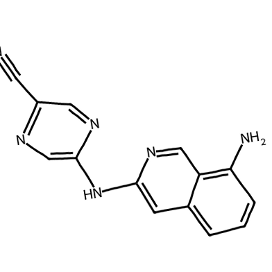 N#Cc1cnc(Nc2cc3cccc(N)c3cn2)cn1